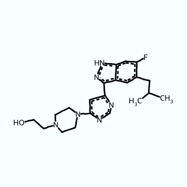 CC(C)Cc1cc2c(-c3cc(N4CCN(CCO)CC4)ncn3)n[nH]c2cc1F